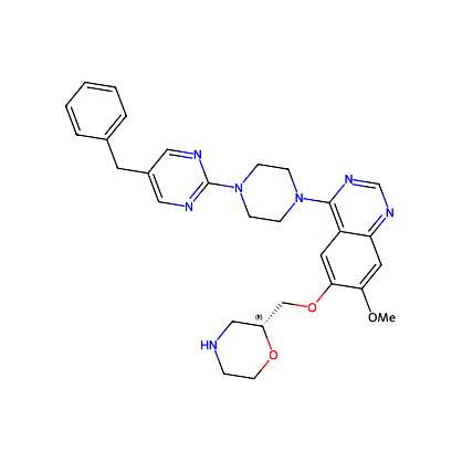 COc1cc2ncnc(N3CCN(c4ncc(Cc5ccccc5)cn4)CC3)c2cc1OC[C@H]1CNCCO1